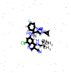 [2H][C@](Nc1cc(Cl)c2ncc(C#N)c(NC[Si](C)(C)C)c2c1)(c1ccc(F)cc1)c1cn(C2CC2)nn1